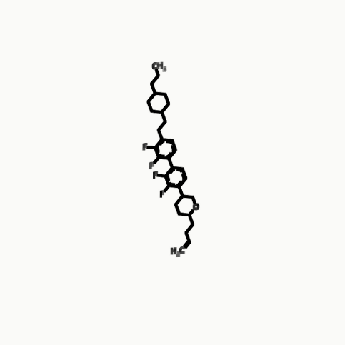 C=CCCC1CCC(c2ccc(-c3ccc(CCC4CCC(CCC)CC4)c(F)c3F)c(F)c2F)CO1